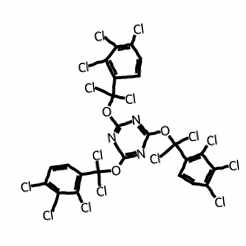 Clc1ccc(C(Cl)(Cl)Oc2nc(OC(Cl)(Cl)c3ccc(Cl)c(Cl)c3Cl)nc(OC(Cl)(Cl)c3ccc(Cl)c(Cl)c3Cl)n2)c(Cl)c1Cl